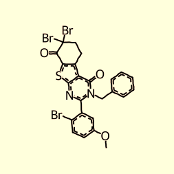 COc1ccc(Br)c(-c2nc3sc4c(c3c(=O)n2Cc2ccccc2)CCC(Br)(Br)C4=O)c1